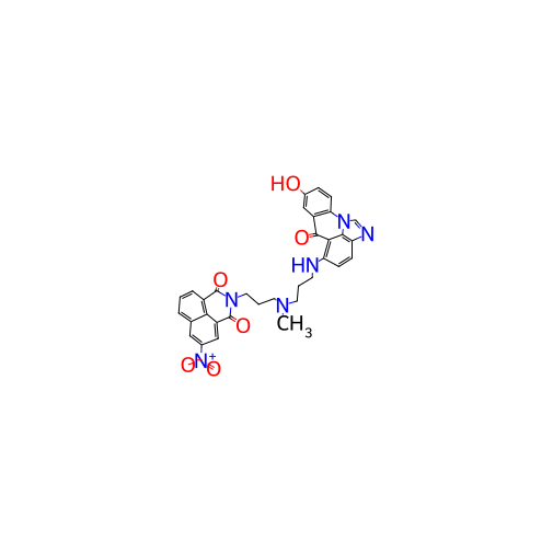 CN(CCCNc1ccc2ncn3c4ccc(O)cc4c(=O)c1c23)CCCN1C(=O)c2cccc3cc([N+](=O)[O-])cc(c23)C1=O